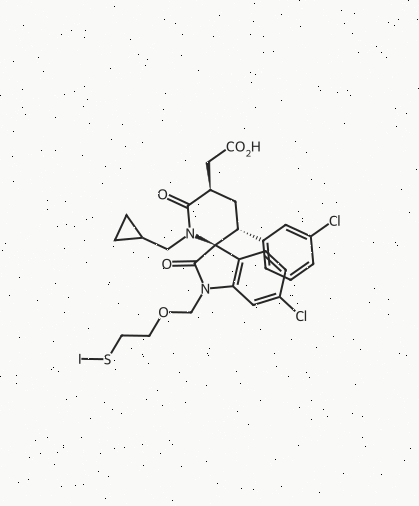 O=C(O)C[C@H]1C[C@H](c2cccc(Cl)c2)[C@]2(C(=O)N(COCCSI)c3cc(Cl)ccc32)N(CC2CC2)C1=O